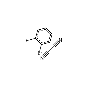 Fc1ccccc1Br.N#CC#N